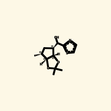 C[C@@H]1C[C@H](C(O)c2nccs2)[C@H]2OC(C)(C)O[C@H]21